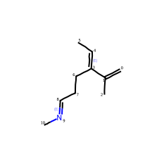 C=C(C)/C(=C/C)CC/C=N/C